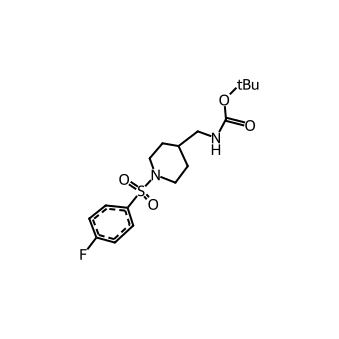 CC(C)(C)OC(=O)NCC1CCN(S(=O)(=O)c2ccc(F)cc2)CC1